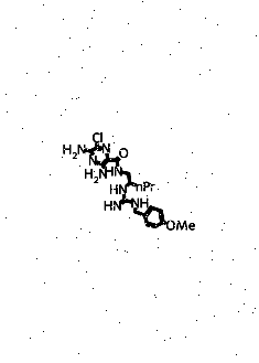 CCCC(CNC(=O)c1nc(Cl)c(N)nc1N)NC(=N)NCc1ccc(OC)cc1